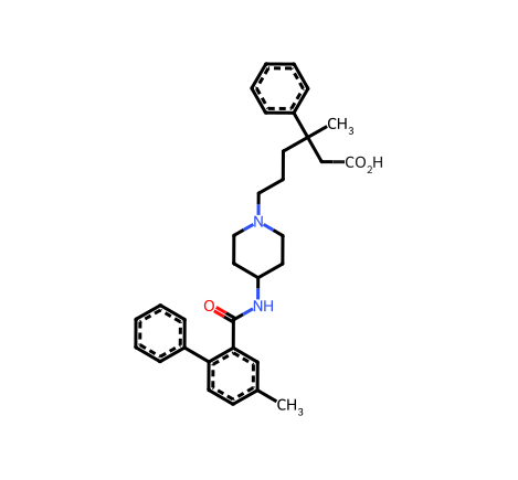 Cc1ccc(-c2ccccc2)c(C(=O)NC2CCN(CCCC(C)(CC(=O)O)c3ccccc3)CC2)c1